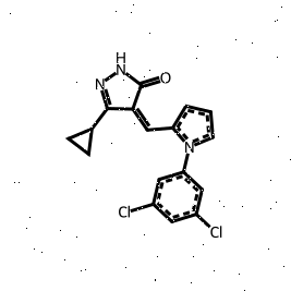 O=C1NN=C(C2CC2)C1=Cc1cccn1-c1cc(Cl)cc(Cl)c1